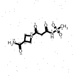 CS(=O)(=O)NC(=O)CC(=O)N1CC(C(N)=O)C1